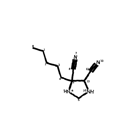 CCCCCC1(C#N)NCNC1C#N